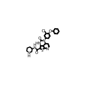 O=C(N[C@@H]1CCCNC1)c1sc2nccc3c2c1NC(=O)N3c1ccc(Oc2ccccc2)c(Cl)c1